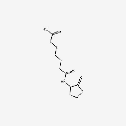 O=C(O)CSCCCC(=O)NC1CCSC1=O